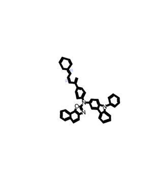 C=C(/C=C\C=C1\C=CC=CC1)c1ccc(N(c2ccc3c(c2)c2ccccc2n3-c2ccccc2)c2nc3ccc4ccccc4c3o2)cc1